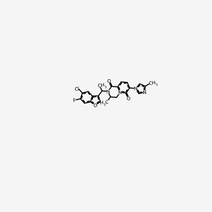 Cc1cn(-c2ccc3n(c2=O)CC(C)N(C(C)c2coc4cc(F)c(Cl)cc24)C3=O)cn1